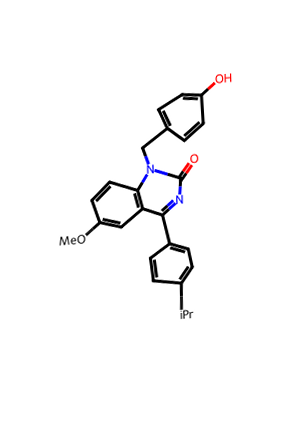 COc1ccc2c(c1)c(-c1ccc(C(C)C)cc1)nc(=O)n2Cc1ccc(O)cc1